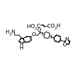 NCCc1c[nH]c2ccc(OCC(=O)N3CCN(c4ccc(-c5ncco5)cc4)CC3)cc12.O=C(O)C=CC(=O)O